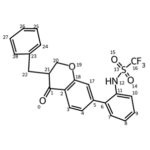 O=C1c2ccc(-c3ccccc3NS(=O)(=O)C(F)(F)F)cc2OCC1Cc1ccccc1